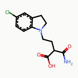 NC(=O)C(CCN1CCc2cc(Cl)ccc21)C(=O)O